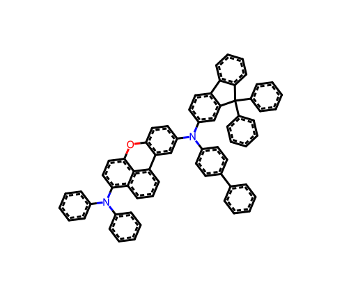 c1ccc(-c2ccc(N(c3ccc4c(c3)-c3cccc5c(N(c6ccccc6)c6ccccc6)ccc(c35)O4)c3ccc4c(c3)C(c3ccccc3)(c3ccccc3)c3ccccc3-4)cc2)cc1